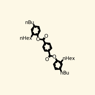 CCCCCCc1cc(CCCC)ccc1OC(=O)c1ccc(C(=O)Oc2ccc(CCCC)cc2CCCCCC)cc1